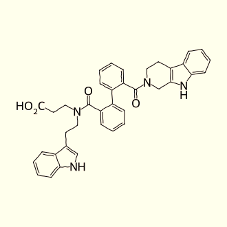 O=C(O)CCN(CCc1c[nH]c2ccccc12)C(=O)c1ccccc1-c1ccccc1C(=O)N1CCc2c([nH]c3ccccc23)C1